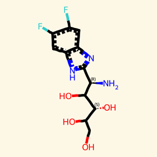 N[C@H](c1nc2cc(F)c(F)cc2[nH]1)C(O)[C@H](O)C(O)CO